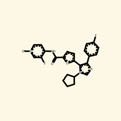 O=C(Nc1cc[n+]([O-])cc1F)c1ccc(-c2c(-c3ccc(F)cc3)ncn2C2CCCC2)o1